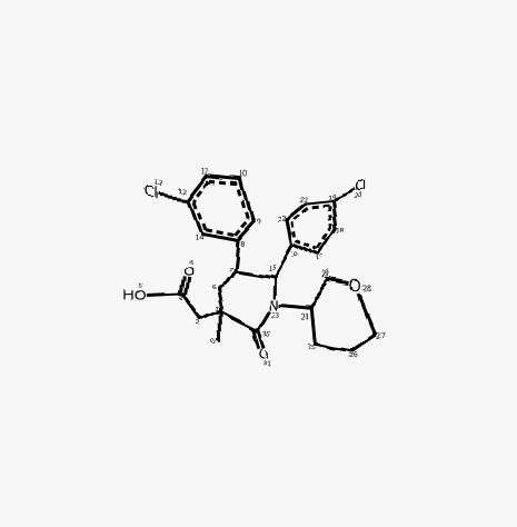 CC1(CC(=O)O)CC(c2cccc(Cl)c2)C(c2ccc(Cl)cc2)N(C2CCCOC2)C1=O